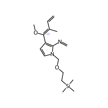 C=C/C(C)=C(\OC)c1ccn(COCC[Si](C)(C)C)c1N=C